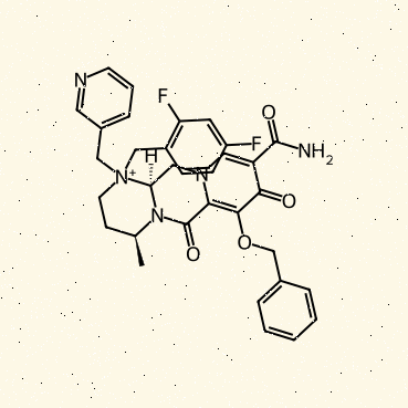 C[C@H]1CC[N+](Cc2cccnc2)(Cc2ccc(F)cc2F)[C@H]2Cn3cc(C(N)=O)c(=O)c(OCc4ccccc4)c3C(=O)N12